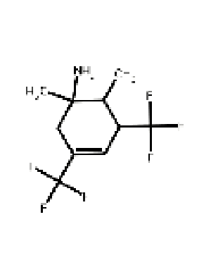 CC1C(C(F)(F)F)C=C(C(F)(F)F)CC1(C)N